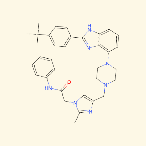 Cc1nc(CN2CCN(c3cccc4[nH]c(-c5ccc(C(C)(C)C)cc5)nc34)CC2)cn1CC(=O)Nc1ccccc1